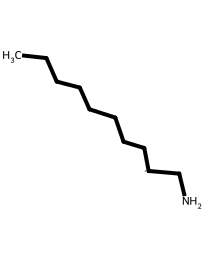 CCCCCCCC[CH]CN